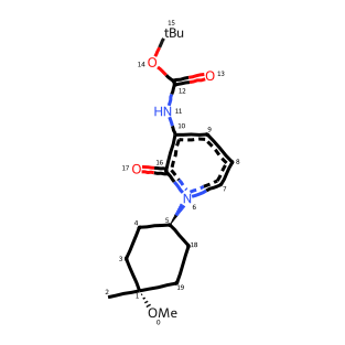 CO[C@]1(C)CC[C@@H](n2cccc(NC(=O)OC(C)(C)C)c2=O)CC1